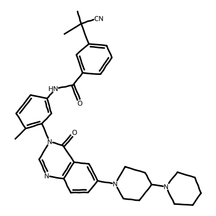 Cc1ccc(NC(=O)c2cccc(C(C)(C)C#N)c2)cc1-n1cnc2ccc(N3CCC(N4CCCCC4)CC3)cc2c1=O